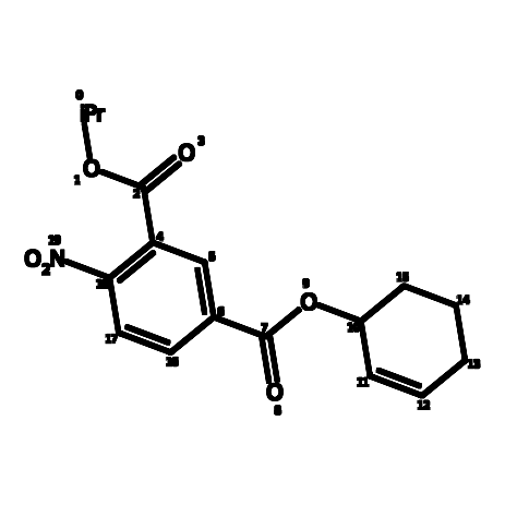 CC(C)OC(=O)c1cc(C(=O)OC2C=CCCC2)ccc1[N+](=O)[O-]